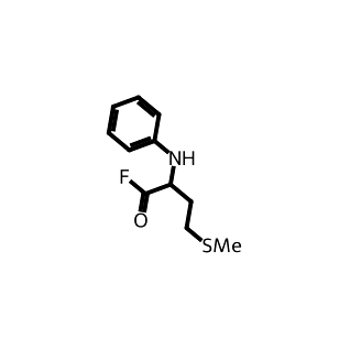 CSCCC(Nc1ccccc1)C(=O)F